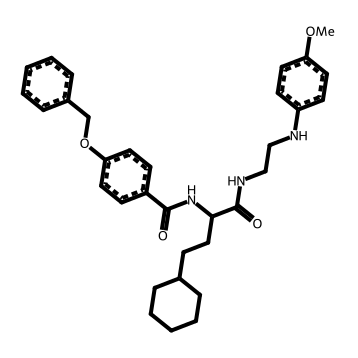 COc1ccc(NCCNC(=O)C(CCC2CCCCC2)NC(=O)c2ccc(OCc3ccccc3)cc2)cc1